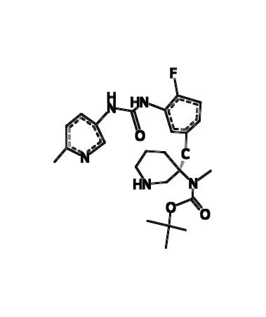 Cc1ccc(NC(=O)Nc2cc(C[C@@]3(N(C)C(=O)OC(C)(C)C)CCCNC3)ccc2F)cn1